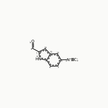 [C-]#[N+]c1ccc2[nH]c(C=O)cc2c1